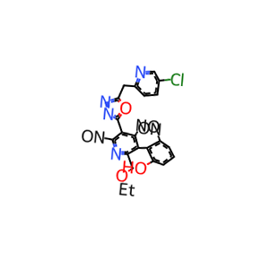 CCOCc1nc(N=O)c(-c2nnc(Cc3ccc(Cl)cn3)o2)c(N=O)c1-c1c(O)cccc1N=O